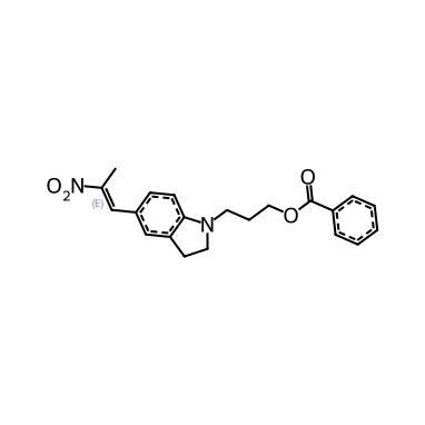 C/C(=C\c1ccc2c(c1)CCN2CCCOC(=O)c1ccccc1)[N+](=O)[O-]